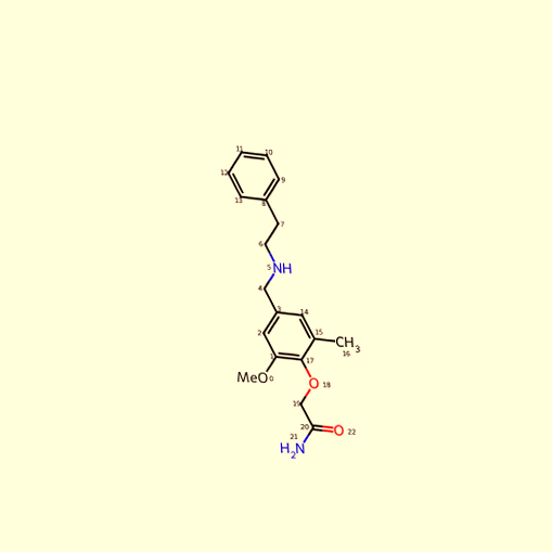 COc1cc(CNCCc2ccccc2)cc(C)c1OCC(N)=O